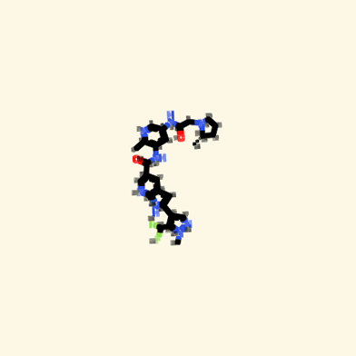 Cc1ncc(NC(=O)CN2CCC[C@@H]2C)cc1NC(=O)c1cnc2[nH]c(-c3cnn(C)c3C(F)F)cc2c1